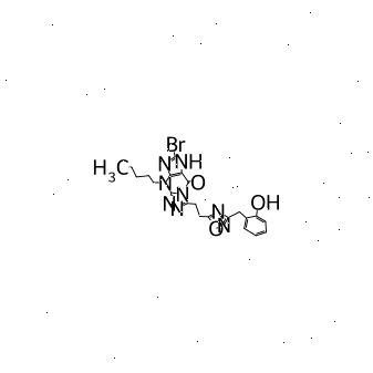 CCCCCn1c2nc(Br)[nH]c2c(=O)n2c(CCc3nc(Cc4ccccc4O)no3)nnc12